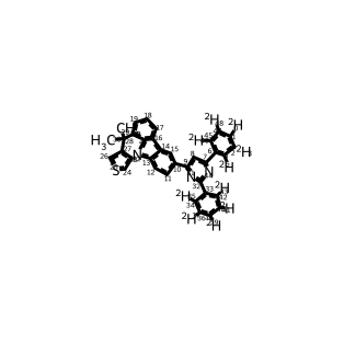 [2H]c1c([2H])c([2H])c(-c2cc(-c3ccc4c(c3)c3cccc5c3n4-c3cscc3C5(C)C)nc(-c3c([2H])c([2H])c([2H])c([2H])c3[2H])n2)c([2H])c1[2H]